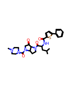 CC(C)CC(NC(=O)c1ccc(-c2ccccc2)s1)C(=O)N1CCC2C1C(=O)CN2C(=O)N1CCN(C)CC1